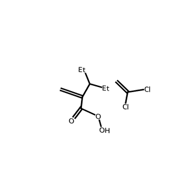 C=C(C(=O)OO)C(CC)CC.C=C(Cl)Cl